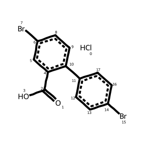 Cl.O=C(O)c1cc(Br)ccc1-c1ccc(Br)cc1